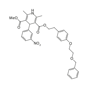 COC(=O)C1=C(C)NC(C)=C(C(=O)OCCc2ccc(OCCOCc3ccccc3)cc2)C1c1cccc([N+](=O)[O-])c1